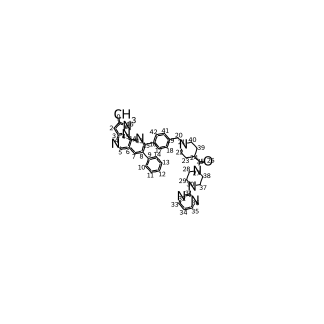 Cc1cc2ncc3cc(-c4ccccc4)c(-c4ccc(CN5CCC(C(=O)N6CCN(c7ncccn7)CC6)CC5)cc4)nc3n2n1